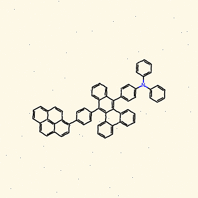 c1ccc(N(c2ccccc2)c2ccc(-c3c4ccccc4c(-c4ccc(-c5ccc6ccc7cccc8ccc5c6c78)cc4)c4c5ccccc5c5ccccc5c34)cc2)cc1